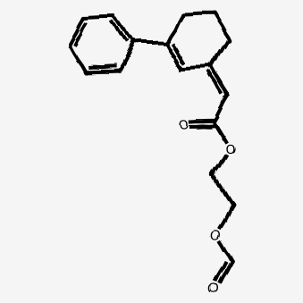 O=COCCOC(=O)C=C1C=C(c2ccccc2)CCC1